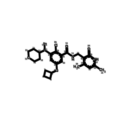 CCN(c1cc(OC2CCC2)cc(C(=O)NCc2c(C)cc(C)[nH]c2=O)c1Cl)C1CCOCC1